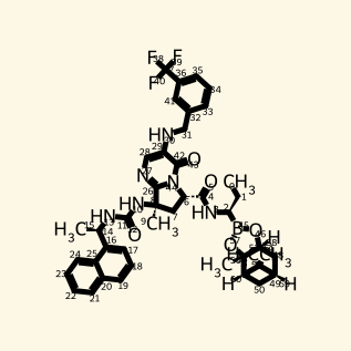 CC[C@H](NC(=O)[C@@H]1C[C@@](C)(NC(=O)N[C@H](C)c2cccc3ccccc23)c2ncc(NCc3cccc(C(F)(F)F)c3)c(=O)n21)B1O[C@@H]2C[C@@H]3C[C@@H](C3(C)C)[C@]2(C)O1